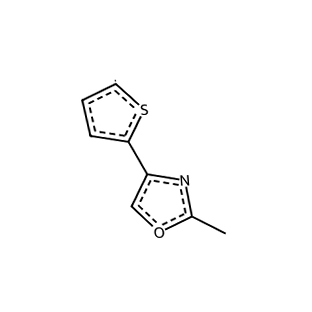 Cc1nc(-c2cc[c]s2)co1